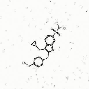 CCOc1ccc(Cc2nc3cc(S(=O)(=O)N(CC)CC)ccc3n2CC2CC2)cc1